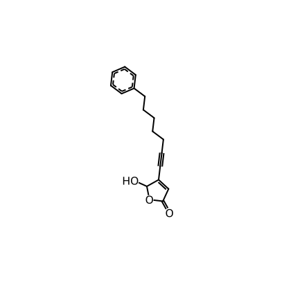 O=C1C=C(C#CCCCCCc2ccccc2)C(O)O1